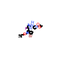 CC(C)(C)OC(=O)N1CCC[C@H](Nc2ncc(I)c(-c3cn(COCC[Si](C)(C)C)c4c(Br)cccc34)n2)C1